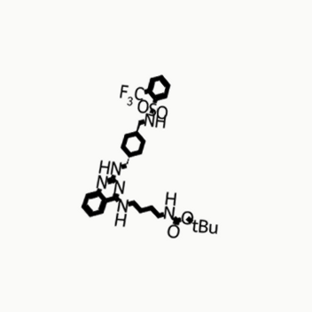 CC(C)(C)OC(=O)NCCCCNc1nc(NC[C@H]2CC[C@H](CNS(=O)(=O)c3ccccc3C(F)(F)F)CC2)nc2ccccc12